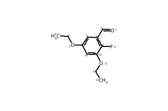 CCOc1cc(C=O)c(F)c(OCC)c1